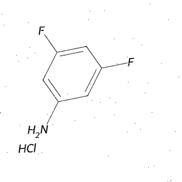 Cl.Nc1cc(F)cc(F)c1